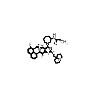 C#Cc1c(F)ccc2cccc(-c3ncc4c(N5CCCCC(NC(=O)C=C)C5)nc(OCC56CCCN5CCC6)nc4c3F)c12